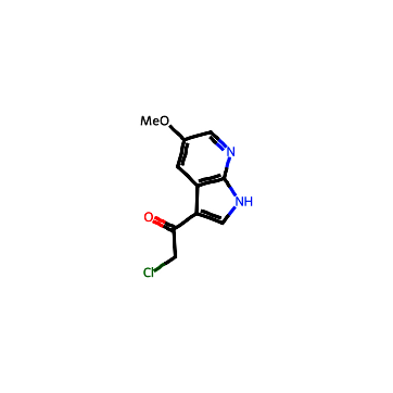 COc1cnc2[nH]cc(C(=O)CCl)c2c1